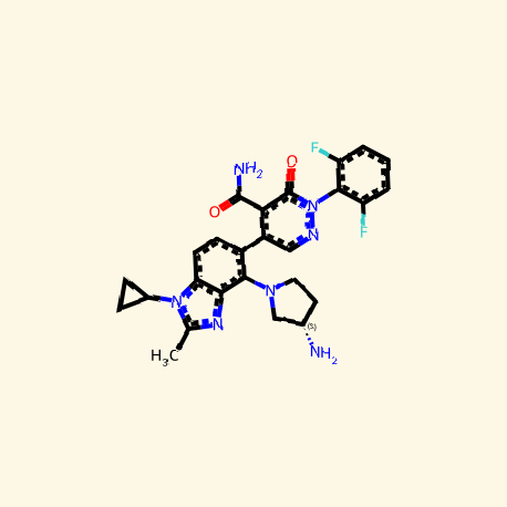 Cc1nc2c(N3CC[C@H](N)C3)c(-c3cnn(-c4c(F)cccc4F)c(=O)c3C(N)=O)ccc2n1C1CC1